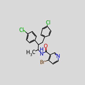 CC(NC(=O)c1cnccc1Br)C(Cc1ccc(Cl)cc1)c1ccc(Cl)cc1